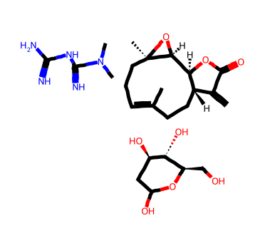 C=C1C(=O)O[C@H]2[C@H]1CC/C(C)=C/CC[C@@]1(C)O[C@@H]21.CN(C)C(=N)NC(=N)N.OC[C@H]1OC(O)C[C@@H](O)[C@@H]1O